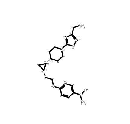 C[S+]([O-])c1ccc(OCC[C@@H]2C[C@@H]2C2CCN(c3nc(CN)no3)CC2)nc1